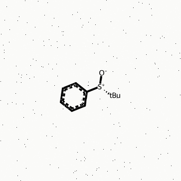 CC(C)(C)[S@@+]([O-])c1ccccc1